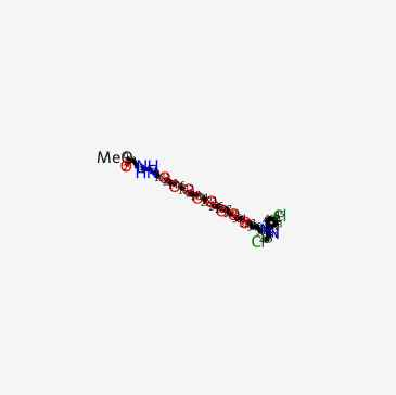 COC(=O)CCNCCNCCOCCOCCOCCOCCOCCOCCOCCOCCCCn1c(CCl)nc2cc(Cl)ccc21